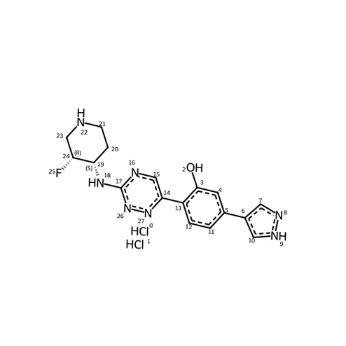 Cl.Cl.Oc1cc(-c2cn[nH]c2)ccc1-c1cnc(N[C@H]2CCNC[C@H]2F)nn1